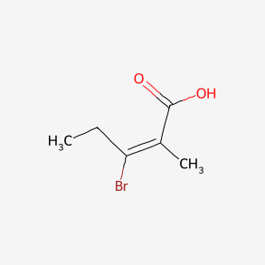 CCC(Br)=C(C)C(=O)O